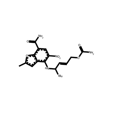 Cc1cc2c(NC(C=CCOC(N)=O)C(C)(C)C)c([N+](=O)[O-])cc(C(N)=O)c2o1